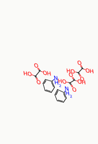 Nc1ccccc1.Nc1ccccc1.O=C(O)C(=O)O.O=C(O)C(=O)O.O=C(O)C(=O)O